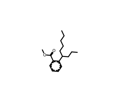 CCCCCC(CCC)c1ccccc1C(=O)OC